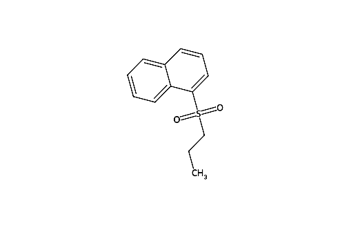 CCCS(=O)(=O)c1cccc2ccccc12